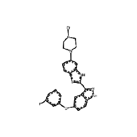 CCN1CCN(c2ccc3nc(-c4n[nH]c5ccc(Oc6cccc(F)c6)cc45)[nH]c3c2)CC1